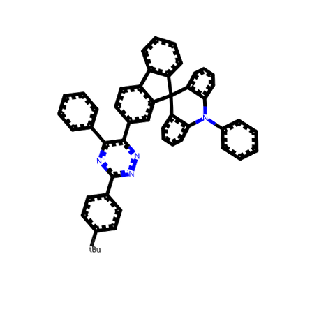 CC(C)(C)c1ccc(-c2nnc(-c3ccc4c(c3)C3(c5ccccc5-4)c4ccccc4N(c4ccccc4)c4ccccc43)c(-c3ccccc3)n2)cc1